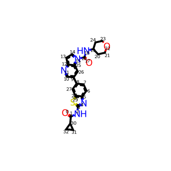 O=C(Nc1nc2ccc(-c3cnc4ccn(C(=O)NC5CCOCC5)c4c3)cc2s1)C1CC1